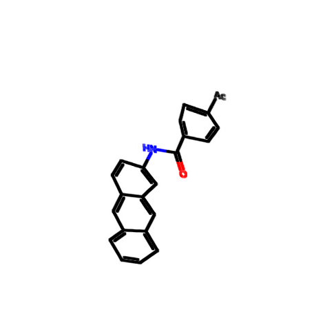 CC(=O)c1ccc(C(=O)Nc2ccc3cc4ccccc4cc3c2)cc1